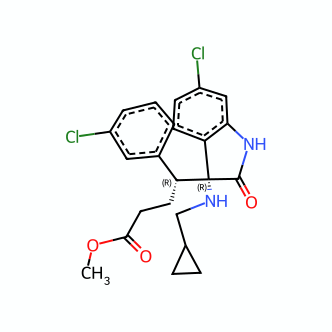 COC(=O)CC[C@H](c1cccc(Cl)c1)[C@]1(NCC2CC2)C(=O)Nc2cc(Cl)ccc21